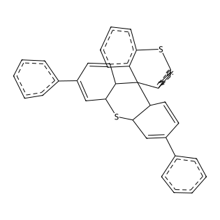 C1=CC2C(C=C1c1ccccc1)SC1C=C(c3ccccc3)C=CC1C21c2ccccc2Sc2ccccc21